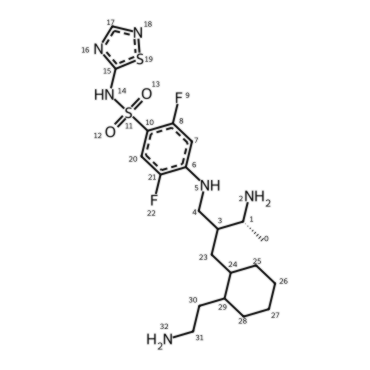 C[C@@H](N)C(CNc1cc(F)c(S(=O)(=O)Nc2ncns2)cc1F)CC1CCCCC1CCN